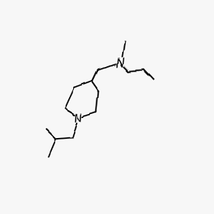 CCCN(C)CC1CCN(CC(C)C)CC1